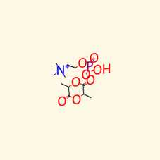 CC1OC(=O)C(C)OC1=O.C[N+](C)(C)CCOP(=O)([O-])O